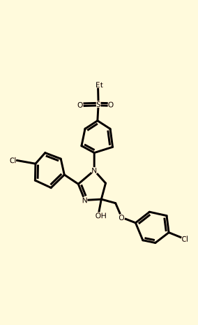 CCS(=O)(=O)c1ccc(N2CC(O)(COc3ccc(Cl)cc3)N=C2c2ccc(Cl)cc2)cc1